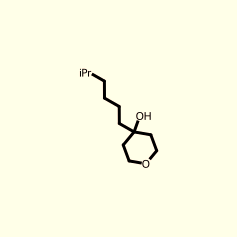 CC(C)CCCCC1(O)CCOCC1